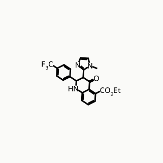 CCOC(=O)c1cccc2c1C(=O)C(c1nccn1C)C(c1ccc(C(F)(F)F)cc1)N2